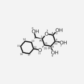 OC[C@H]1OC(O)[C@@H](O)[C@@H](O)[C@@H]1OC1CCCCC1